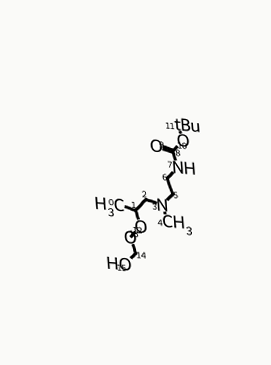 CC(CN(C)CCNC(=O)OC(C)(C)C)OOCO